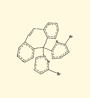 Brc1cccc(C2(c3cccc(Br)n3)c3ccccc3C=Cc3ccccc32)n1